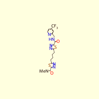 CNC(=O)c1nnc(CCCCc2nnc(C(=O)NCc3cc(C(F)(F)F)ccn3)s2)s1